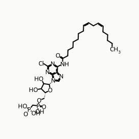 CCCCC/C=C\C/C=C\CCCCCCCC(=O)Nc1nc(Cl)nc2c1ncn2[C@@H]1O[C@H](COP(=O)(O)CP(=O)(O)O)C(O)C1O